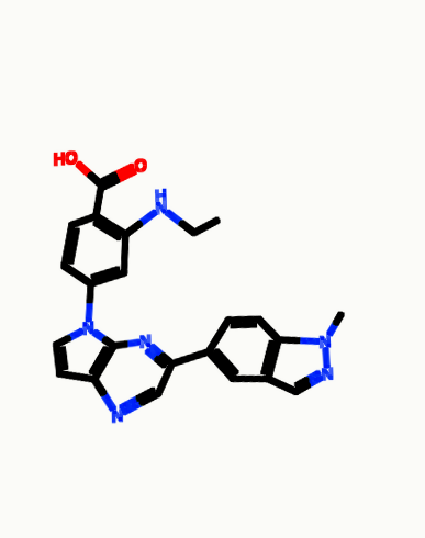 CCNc1cc(-n2ccc3ncc(-c4ccc5c(cnn5C)c4)nc32)ccc1C(=O)O